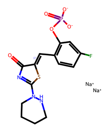 O=C1N=C(N2CCCCN2)S/C1=C\c1ccc(F)cc1OP(=O)([O-])[O-].[Na+].[Na+]